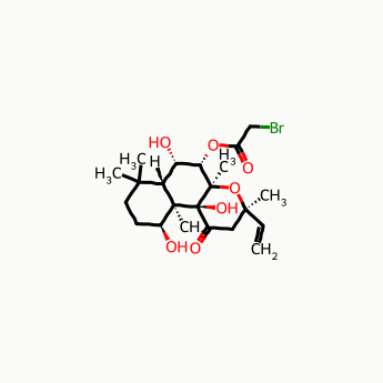 C=C[C@@]1(C)CC(=O)[C@]2(O)[C@@]3(C)[C@@H](O)CCC(C)(C)[C@@H]3[C@H](O)[C@H](OC(=O)CBr)[C@@]2(C)O1